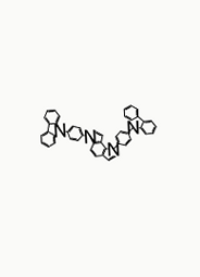 c1ccc2c(c1)c1ccccc1n2-c1ccc(-n2ccc3c2ccc2ccn(-c4ccc(-n5c6ccccc6c6ccccc65)cc4)c23)cc1